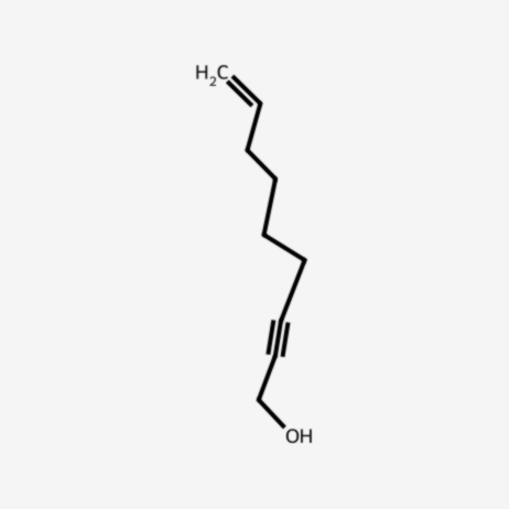 C=CCCCCC#CCO